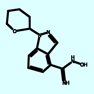 N=C(NO)c1cccc2c1cnn2C1CCCCO1